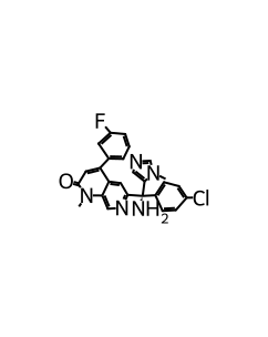 Cn1cncc1[C@@](N)(c1ccc(Cl)cc1)c1cc2c(-c3cccc(F)c3)cc(=O)n(C)c2cn1